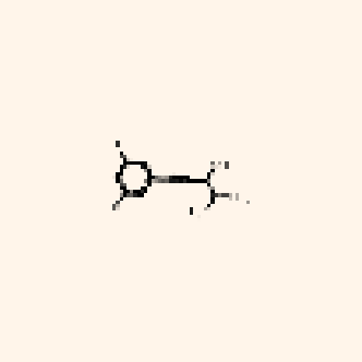 CC(C)C(O)C#Cc1cc(F)cc(F)c1